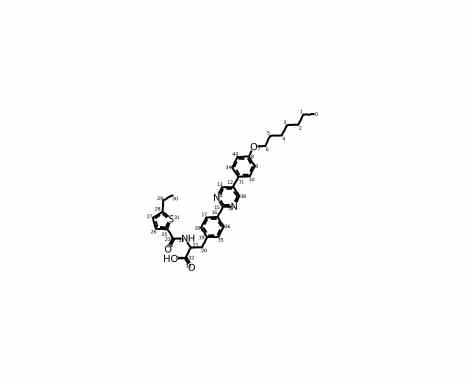 CCCCCCCOc1ccc(-c2cnc(-c3ccc(CC(NC(=O)c4ccc(CC)s4)C(=O)O)cc3)nc2)cc1